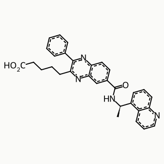 C[C@@H](NC(=O)c1ccc2nc(-c3ccccc3)c(CCCCC(=O)O)nc2c1)c1cccc2ncccc12